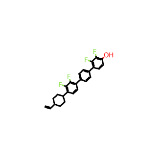 C=CC1CCC(c2ccc(-c3ccc(-c4ccc(O)c(F)c4F)cc3)c(F)c2F)CC1